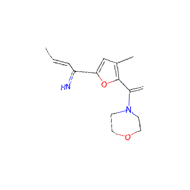 C=C(c1oc(C(=N)/C=C/C)cc1C)N1CCOCC1